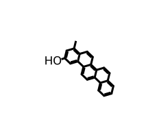 Cc1cc(O)cc2c1ccc1c2ccc2c3ccccc3ccc21